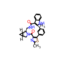 Cc1cccc(-c2sc(C)nc2C(=O)N2C[C@@H]3C[C@@H]3[C@H]2CNC(=O)c2c[nH]c3ccccc23)c1